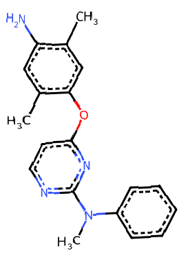 Cc1cc(Oc2ccnc(N(C)c3ccccc3)n2)c(C)cc1N